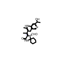 CC1=C(/C(C)=C2/C(=O)NC3(CCCCC3)N2C=O)Cc2cnc(C(C)O)cc2N1